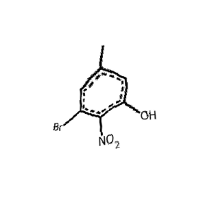 Cc1cc(O)c([N+](=O)[O-])c(Br)c1